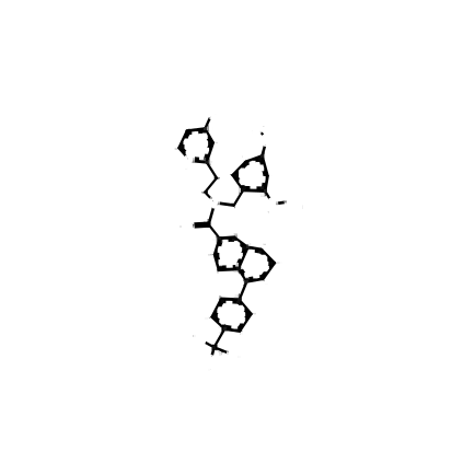 COc1ccc(CN(CCc2cc(Br)ccn2)C(=O)c2ccc3c(-c4ccc(C(F)(F)F)cc4)cccc3c2)c(OC)c1